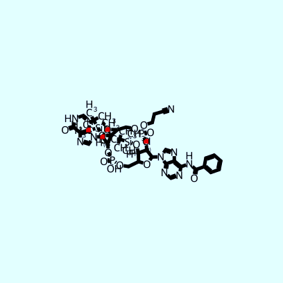 CC(C)(C)[Si](C)(C)O[C@@H]1C2COP(=O)(O)O[C@H]3C(n4cnc5c(=O)[nH]cnc54)OC(COP(=O)(OCCC#N)O[C@H]1C(n1cnc4c(NC(=O)c5ccccc5)ncnc41)O2)[C@H]3O[Si](C)(C)C(C)(C)C